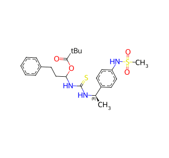 C[C@@H](NC(=S)NC(CCc1ccccc1)OC(=O)C(C)(C)C)c1ccc(NS(C)(=O)=O)cc1